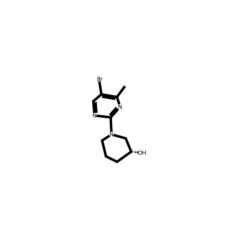 Cc1nc(N2CCC[C@@H](O)C2)ncc1Br